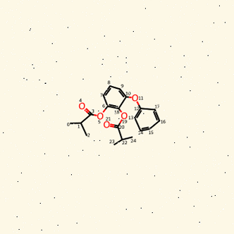 CC(C)C(=O)Oc1cccc(Oc2ccccc2)c1OC(=O)C(C)C